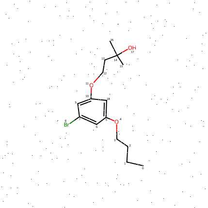 CCCCOc1cc(Br)cc(OCCC(C)(C)O)c1